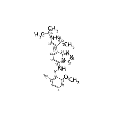 COc1cccc(F)c1CNc1ccc(-c2cn(C(C)C)nc2C)c2nncn12